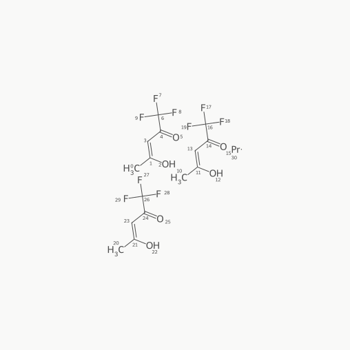 C/C(O)=C/C(=O)C(F)(F)F.C/C(O)=C/C(=O)C(F)(F)F.C/C(O)=C/C(=O)C(F)(F)F.[Pr]